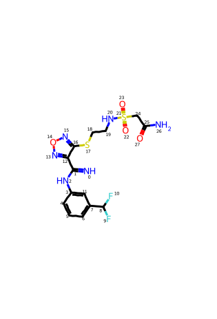 N=C(Nc1cccc(C(F)F)c1)c1nonc1SCCNS(=O)(=O)CC(N)=O